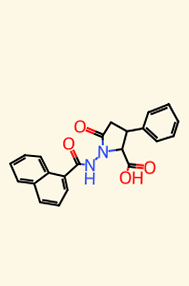 O=C(NN1C(=O)CC(c2ccccc2)C1C(=O)O)c1cccc2ccccc12